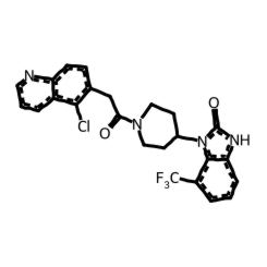 O=C(Cc1ccc2ncccc2c1Cl)N1CCC(n2c(=O)[nH]c3cccc(C(F)(F)F)c32)CC1